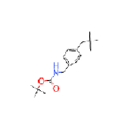 CC(C)(C)Cc1ccc(CNC(=O)OC(C)(C)C)cc1